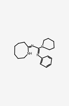 c1ccc(N=C(N=C2CCCCCCN2)N2CCCCC2)cc1